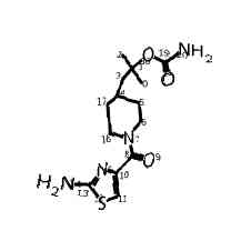 CC(C)(CC1CCN(C(=O)c2csc(N)n2)CC1)OC(N)=O